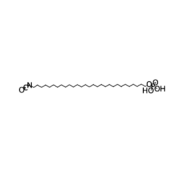 O=C=NCCCCCCCCCCCCCCCCCCCCCCCCCCCCCOP(=O)(O)O